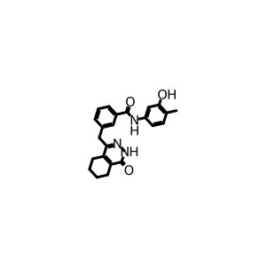 Cc1ccc(NC(=O)c2cccc(Cc3n[nH]c(=O)c4c3CCCC4)c2)cc1O